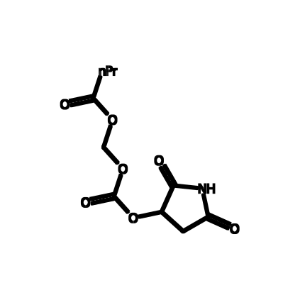 CCCC(=O)OCOC(=O)OC1CC(=O)NC1=O